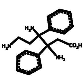 NCCC(N)(c1ccccc1)C(N)(CC(=O)O)c1ccccc1